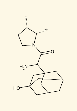 C[C@H]1CCN(C(=O)C(N)C23CC4CC(CC(O)(C4)C2)C3)[C@H]1C